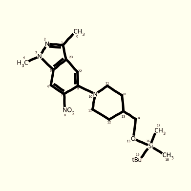 Cc1nn(C)c2cc([N+](=O)[O-])c(N3CCC(CO[Si](C)(C)C(C)(C)C)CC3)cc12